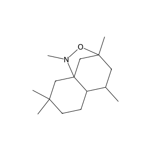 CC1CC2(C)CC3(CC(C)(C)CCC13)N(C)O2